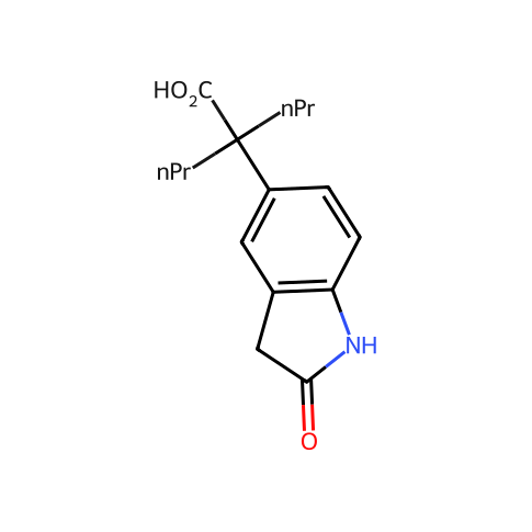 CCCC(CCC)(C(=O)O)c1ccc2c(c1)CC(=O)N2